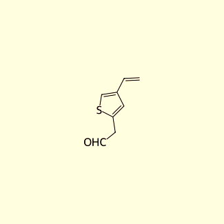 C=Cc1csc(CC=O)c1